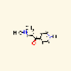 CCN1CCC(C(=O)CCN(C)C)CC1